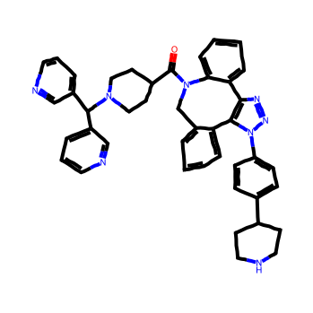 O=C(C1CCN(C(c2cccnc2)c2cccnc2)CC1)N1Cc2ccccc2-c2c(nnn2-c2ccc(C3CCNCC3)cc2)-c2ccccc21